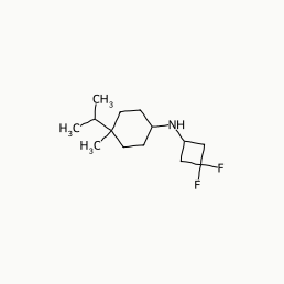 CC(C)C1(C)CCC(NC2CC(F)(F)C2)CC1